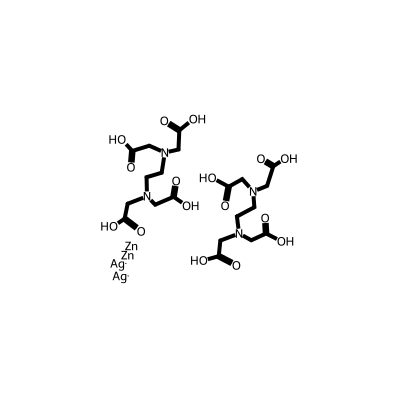 O=C(O)CN(CCN(CC(=O)O)CC(=O)O)CC(=O)O.O=C(O)CN(CCN(CC(=O)O)CC(=O)O)CC(=O)O.[Ag].[Ag].[Zn].[Zn]